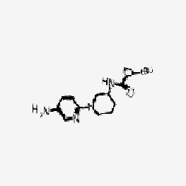 CC(C)(C)OC(=O)N[C@H]1CCCN(c2ccc(N)cn2)C1